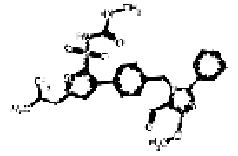 CNC(=O)NS(=O)(=O)c1sc(CC(C)C)cc1-c1ccc(Cn2c(-c3ccccc3)nc(OC)c2C=O)cc1